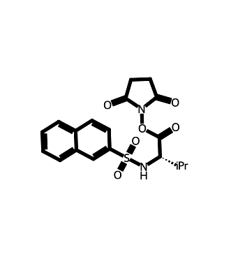 CC(C)[C@H](NS(=O)(=O)c1ccc2ccccc2c1)C(=O)ON1C(=O)CCC1=O